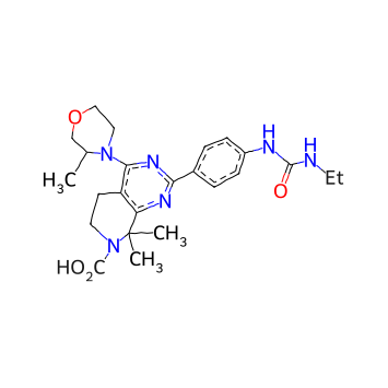 CCNC(=O)Nc1ccc(-c2nc(N3CCOCC3C)c3c(n2)C(C)(C)N(C(=O)O)CC3)cc1